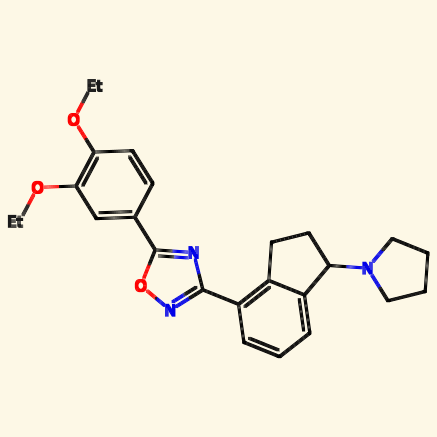 CCOc1ccc(-c2nc(-c3cccc4c3CCC4N3CCCC3)no2)cc1OCC